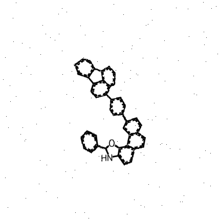 c1ccc(C2Nc3ccc4ccc5ccc(-c6ccc(-c7ccc8c9c(cccc79)-c7ccccc7-8)cc6)cc5c4c3O2)cc1